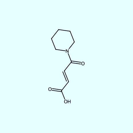 O=C(O)C=CC(=O)N1CCCCC1